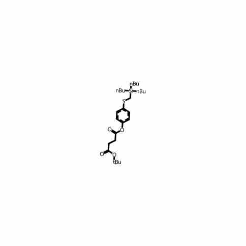 CCCC[Si](CCCC)(CCCC)CSc1ccc(OC(=O)CCC(=O)OC(C)(C)C)cc1